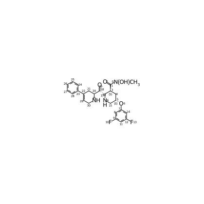 CN(O)C(=O)[C@H]1C[C@H](Oc2cc(F)cc(F)c2)CN[C@@H]1C(=O)C1CC(c2ccccc2)=CCN1